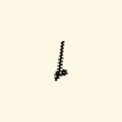 CCCCCCCCCCCCCCCCCCCN1C=CN(CCC)C1Cc1ccccc1